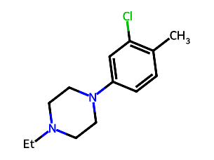 CCN1CCN(c2ccc(C)c(Cl)c2)CC1